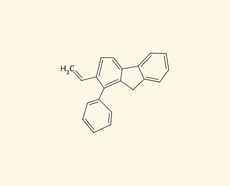 C=Cc1ccc2c(c1-c1ccccc1)Cc1ccccc1-2